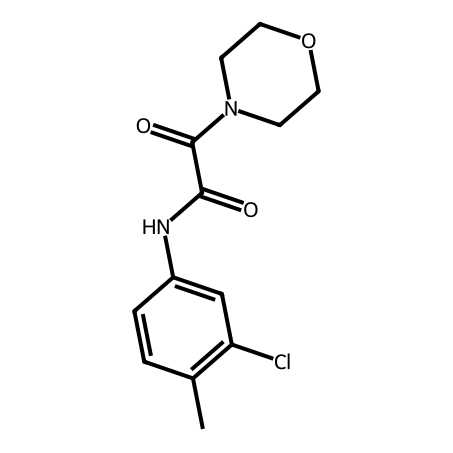 Cc1ccc(NC(=O)C(=O)N2CCOCC2)cc1Cl